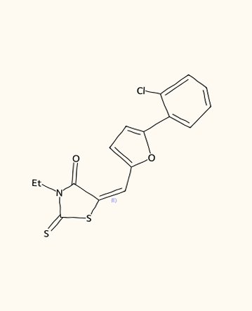 CCN1C(=O)/C(=C\c2ccc(-c3ccccc3Cl)o2)SC1=S